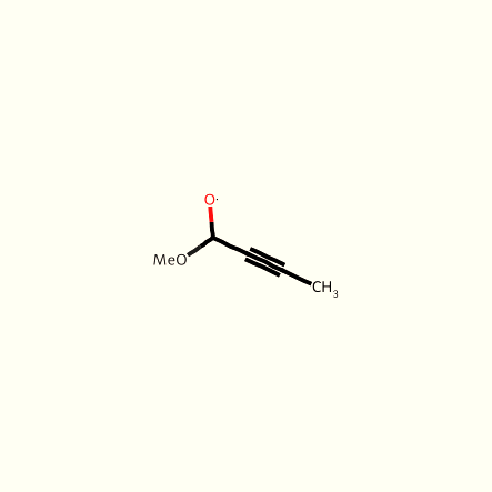 CC#CC([O])OC